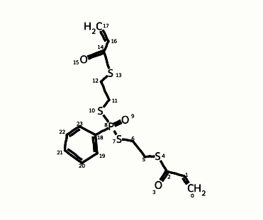 C=CC(=O)SCCSP(=O)(SCCSC(=O)C=C)c1ccccc1